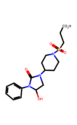 O=C(O)CCS(=O)(=O)N1CCC(N2CC(O)N(c3ccccc3)C2=O)CC1